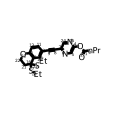 CCCC(=O)Oc1cnc(C#Cc2ccc3c(c2)C(SCC)(SCC)CCO3)cn1